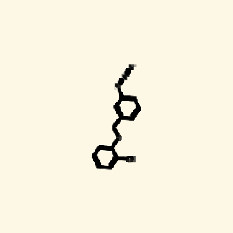 N#Cc1ccccc1OCc1cccc(N=[N+]=[N-])c1